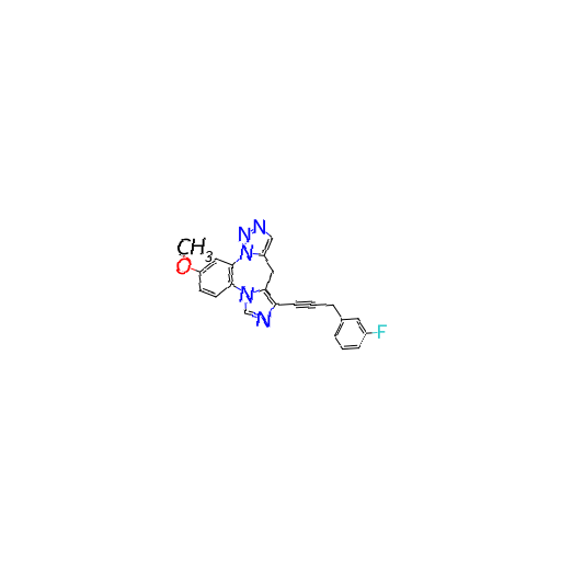 COc1ccc2c(c1)-n1nncc1Cc1c(C#CCc3cccc(F)c3)ncn1-2